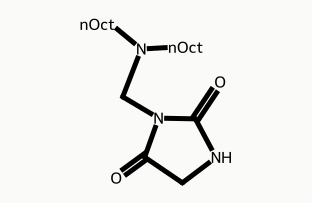 CCCCCCCCN(CCCCCCCC)CN1C(=O)CNC1=O